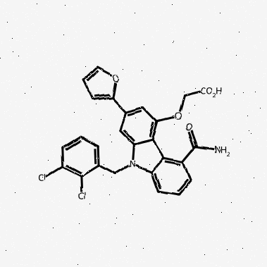 NC(=O)c1cccc2c1c1c(OCC(=O)O)cc(-c3ccco3)cc1n2Cc1cccc(Cl)c1Cl